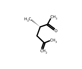 C=C(C)C[C@H](C)C(C)=O